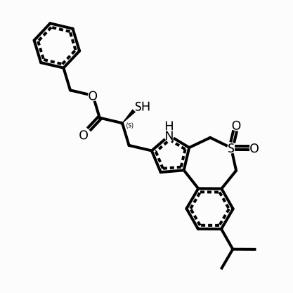 CC(C)c1ccc2c(c1)CS(=O)(=O)Cc1[nH]c(C[C@H](S)C(=O)OCc3ccccc3)cc1-2